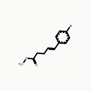 COC(=O)CC/C=C/c1ccc(Br)cc1